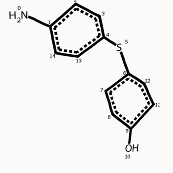 Nc1ccc(Sc2ccc(O)cc2)cc1